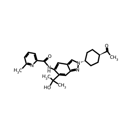 Cc1cccc(C(=O)Nc2cc3cn([C@H]4CC[C@H](C(C)=O)CC4)nc3cc2C(C)(C)O)n1